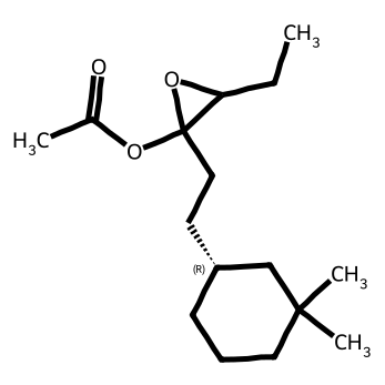 CCC1OC1(CC[C@H]1CCCC(C)(C)C1)OC(C)=O